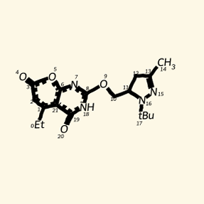 CCc1cc(=O)oc2nc(OCC3CC(C)=NN3C(C)(C)C)[nH]c(=O)c12